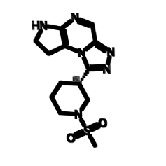 CS(=O)(=O)N1CCC[C@H](c2nnc3cnc4c(n23)CCN4)C1